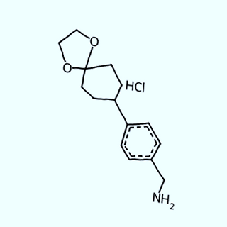 Cl.NCc1ccc(C2CCC3(CC2)OCCO3)cc1